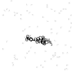 CC(C)(OC(=O)OCc1ccc([N+](=O)[O-])cc1)[C@@H]1C(=O)N2[C@@H]1CCOC2(C)C